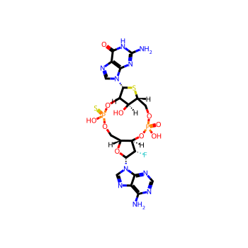 Nc1nc2c(ncn2[C@@H]2S[C@@H]3COP(=O)(O)O[C@H]4[C@H](F)[C@H](n5cnc6c(N)ncnc65)O[C@@H]4COP(O)(=S)O[C@@H]2[C@@H]3O)c(=O)[nH]1